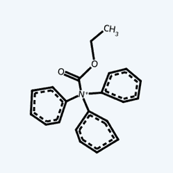 CCOC(=O)[N+](c1ccccc1)(c1ccccc1)c1ccccc1